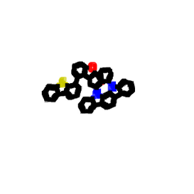 C1=C2Oc3cccc(-c4cccc5c4sc4ccccc45)c3C2CC(n2c3ccccc3c3ccc4c5ccccc5n(-c5ccccc5)c4c32)=C1